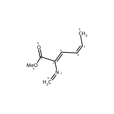 C=N/C(=C\C=C/C)C(=O)OC